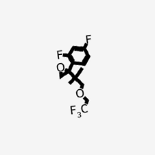 CC(C)(COCC(F)(F)F)C1(c2ccc(F)cc2F)CO1